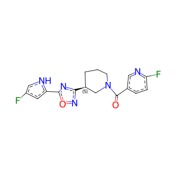 O=C(c1ccc(F)nc1)N1CCC[C@H](c2noc(-c3cc(F)c[nH]3)n2)C1